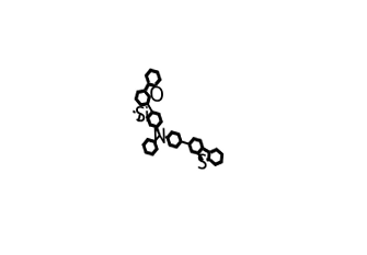 C[Si]1(C)c2cc(N(c3ccccc3)c3ccc(-c4ccc5c(c4)sc4ccccc45)cc3)ccc2-c2c1ccc1c2oc2ccccc21